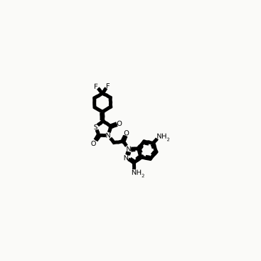 Nc1ccc2c(N)nn(C(=O)CN3C(=O)SC(=C4CCC(F)(F)CC4)C3=O)c2c1